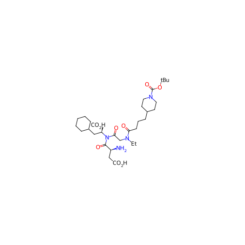 CCN(CC(=O)N(C(=O)[C@@H](N)CC(=O)O)[C@@H](CC1CCCCC1)C(=O)O)C(=O)CCCC1CCN(C(=O)OC(C)(C)C)CC1